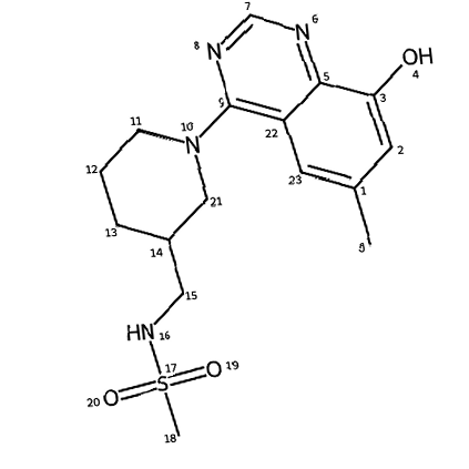 Cc1cc(O)c2ncnc(N3CCCC(CNS(C)(=O)=O)C3)c2c1